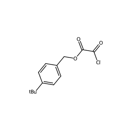 CC(C)(C)c1ccc(COC(=O)C(=O)Cl)cc1